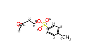 Cc1ccc(S(=O)(=O)OCCC2=CO2)cc1